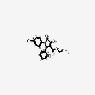 CCOC(=O)C1=C(O)C(=O)N(c2ccc(Cl)cc2)C1c1ccccc1Cl